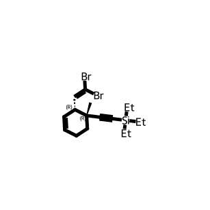 CC[Si](C#C[C@]1(C)CCC=C[C@@H]1C=C(Br)Br)(CC)CC